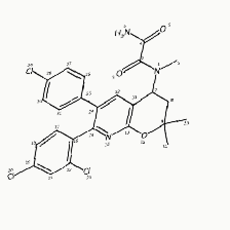 CN(C(=O)C(N)=O)C1CC(C)(C)Oc2nc(-c3ccc(Cl)cc3Cl)c(-c3ccc(Cl)cc3)cc21